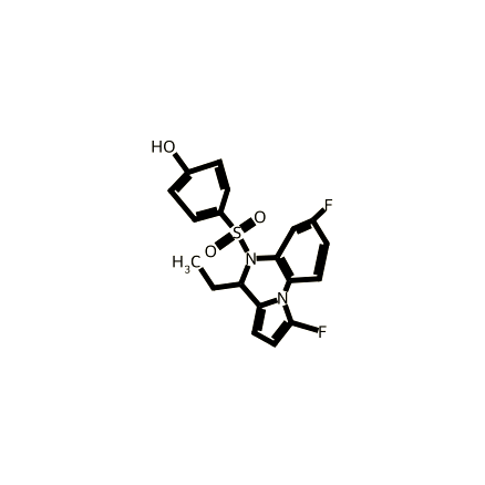 CCC1c2ccc(F)n2-c2ccc(F)cc2N1S(=O)(=O)c1ccc(O)cc1